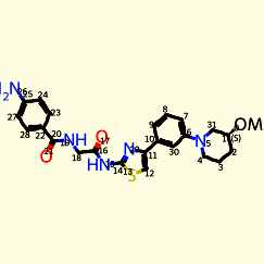 CO[C@H]1CCCN(c2cccc(-c3csc(NC(=O)CNC(=O)c4ccc(N)cc4)n3)c2)C1